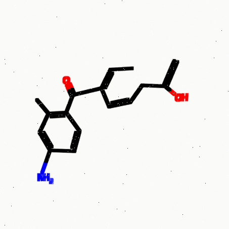 C=C(O)C/C=C\C(=C/C)C(=O)c1ccc(N)cc1C